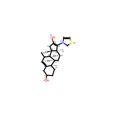 CC1C=C2CC(O)CC[C@]2(C)[C@@H]2CC[C@]3(C)C(N4C=CSC4)=C(O)C[C@H]3[C@H]12